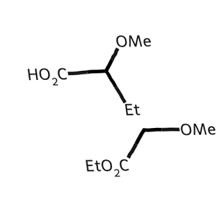 CCC(OC)C(=O)O.CCOC(=O)COC